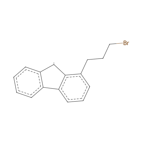 BrCCCc1cccc2c1[CH]c1ccccc1-2